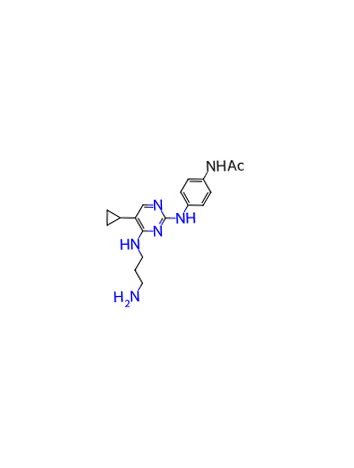 CC(=O)Nc1ccc(Nc2ncc(C3CC3)c(NCCCN)n2)cc1